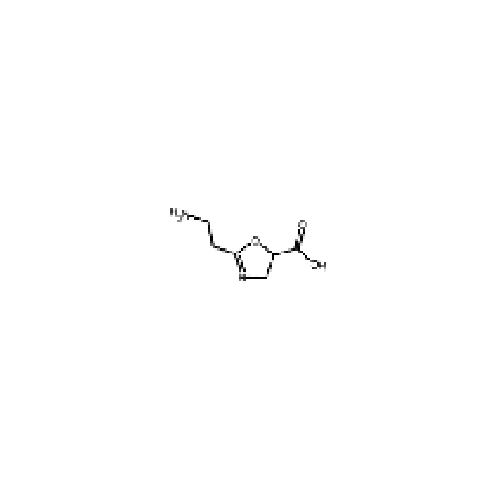 NCCC1=NCC(C(=O)O)O1